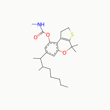 CCCCCC(C)C(C)c1cc(OC(=O)NC)c2c(c1)OC(C)(C)C1=C2CCS1